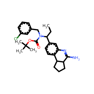 CCC(c1ccc2c(c1)N=C(N)C1CCCC21)N(Cc1cccc(Cl)c1)C(=O)OC(C)(C)C